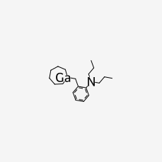 CCCN(CCC)c1ccccc1[CH2][Ga]1[CH2]CCCC[CH2]1